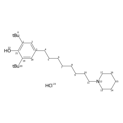 CC(C)(C)c1cc(CCCCCCCCN2CCCCC2)cc(C(C)(C)C)c1O.Cl